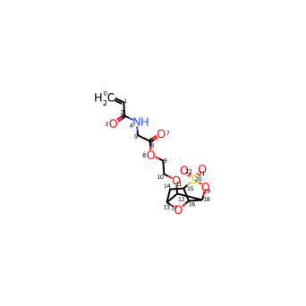 C=CC(=O)NCC(=O)OCCOC1C2CC3C(O2)C1OS3(=O)=O